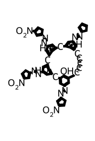 O=[N+]([O-])C1=CCC(N=Nc2cc3c(O)c(c2)Cc2cc(N=NC4=CC([N+](=O)[O-])=CC4)cc(c2O)Cc2cc(N=NC4=CC([N+](=O)[O-])=CC4)cc(c2O)Cc2cc(N=NC4=CC=CC4)cc(c2O)CCCCCC3)=C1